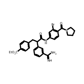 CCOC(=O)c1ccc(CC(C(=O)Nc2ccc(C(=O)N3CCCC3)c(Br)c2)c2cccc(C(=N)N)c2)cc1